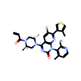 C=CC(=O)N1C[C@H](C)N(c2nc(=O)n(-c3c(C)ccnc3C(C)C)c3nc(-c4cscc4C)c(Cl)cc23)C[C@H]1C